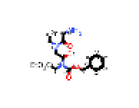 CCOC(=O)CN(C(=O)CN(CC(C)C)C(=O)CN)C(=O)OCc1ccccc1